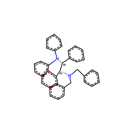 c1ccc(CN(Cc2ccccc2)[C@H](c2ccccc2)[C@@H](c2ccccc2)N(c2ccccc2)c2ccccc2)cc1